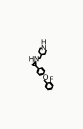 Fc1ccccc1COc1ccc(C2C[C@@H]2NCC2CCNCC2)cc1